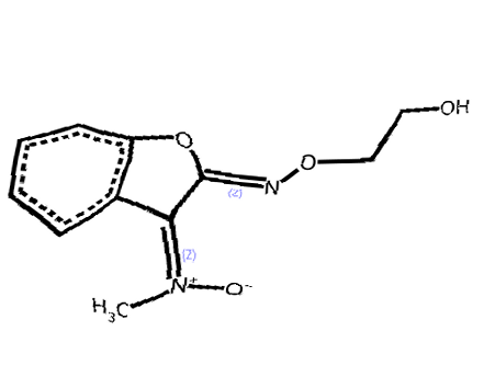 C/[N+]([O-])=C1/C(=N/OCCO)Oc2ccccc21